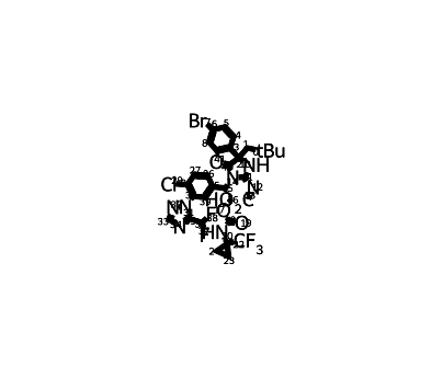 CC(C)(C)CC1(c2ccc(Br)cc2)NC(=NC(=O)O)N([C@H](COC(=O)NC2(C(F)(F)F)CC2)c2ccc(Cl)c(-n3ncnc3C(F)F)c2)C1=O